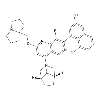 Oc1cc(-c2ncc3c(N4C[C@H]5CC[C@@H](C4)N5)cc(OCC45CCCN4CCC5)nc3c2F)c2c(Cl)cccc2c1